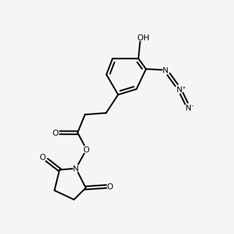 [N-]=[N+]=Nc1cc(CCC(=O)ON2C(=O)CCC2=O)ccc1O